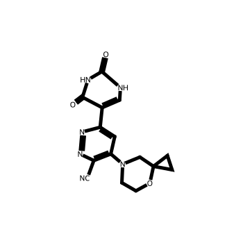 N#Cc1nnc(-c2c[nH]c(=O)[nH]c2=O)cc1N1CCOC2(CC2)C1